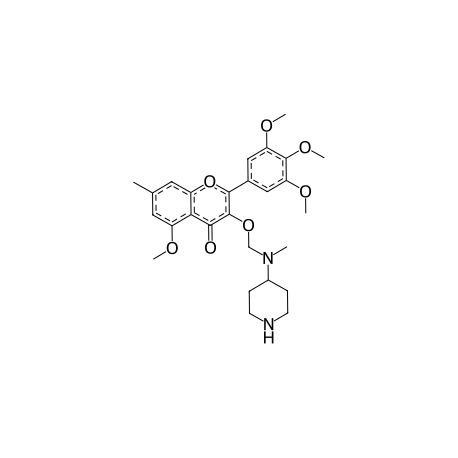 COc1cc(-c2oc3cc(C)cc(OC)c3c(=O)c2OCN(C)C2CCNCC2)cc(OC)c1OC